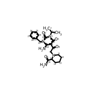 CC(C)n1c(=O)c(C(=O)CN2CCCCC2C(N)=O)c(N)n(Cc2ccccc2)c1=O